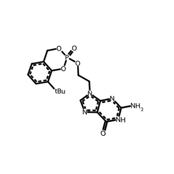 CC(C)(C)c1cccc2c1OP(=O)(OCCn1cnc3c(=O)[nH]c(N)nc31)OC2